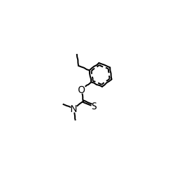 CCc1ccccc1OC(=S)N(C)C